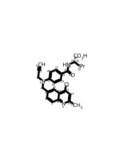 C#CCN(Cc1ccc2nc(C)cc(Cl)c2c1)c1ccc(C(=O)N[C@H](C(=O)O)C(C)C)cc1